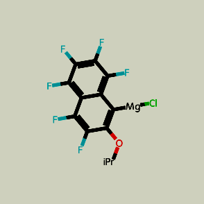 CC(C)Oc1c(F)c(F)c2c(F)c(F)c(F)c(F)c2[c]1[Mg][Cl]